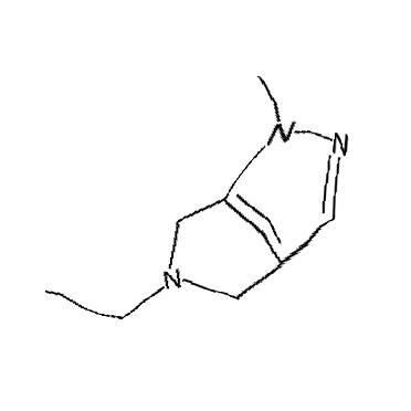 CCN1Cc2cnn(C)c2C1